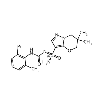 Cc1cccc(C(C)C)c1NC(=O)N=[S@@](N)(=O)c1cnn2c1OCC(C)(C)C2